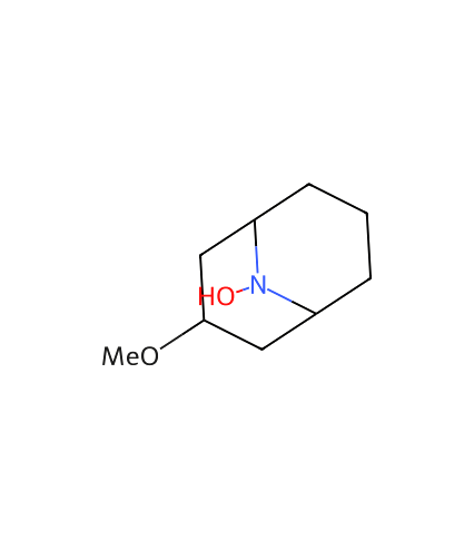 COC1CC2CCCC(C1)N2O